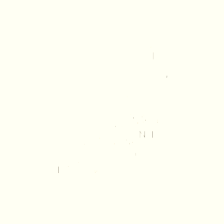 Cc1ccc(S(=O)(=O)NS(=O)(=O)c2ccc(Cl)cc2)cc1